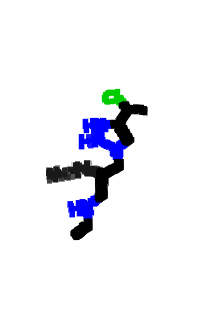 C=CN/C=C(/CN1C=C(C(C)Cl)NN1)NC